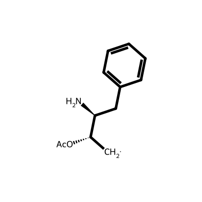 [CH2][C@H](OC(C)=O)[C@@H](N)Cc1ccccc1